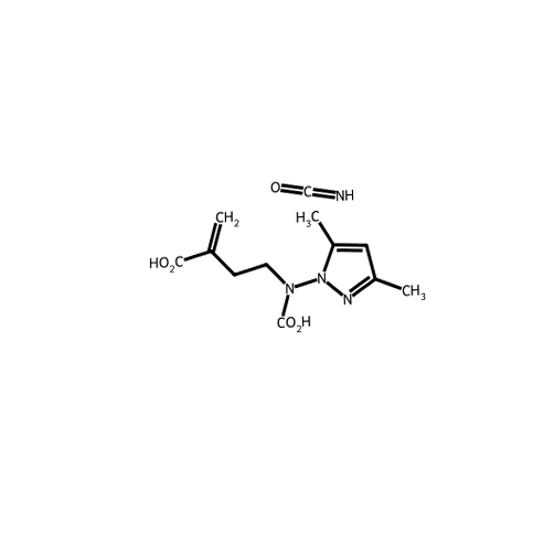 C=C(CCN(C(=O)O)n1nc(C)cc1C)C(=O)O.N=C=O